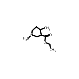 BN1CCC(C)C(C(=O)OCC)C1